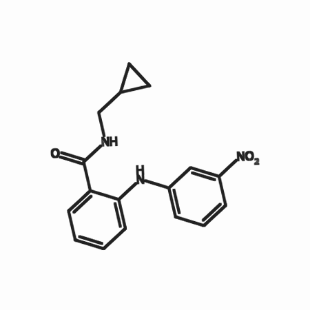 O=C(NCC1CC1)c1ccccc1Nc1cccc([N+](=O)[O-])c1